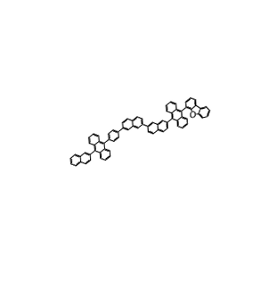 c1ccc2cc(-c3c4ccccc4c(-c4ccc(-c5ccc6ccc(-c7ccc8ccc(-c9c%10ccccc%10c(-c%10cccc%11c%10oc%10ccccc%10%11)c%10ccccc9%10)cc8c7)cc6c5)cc4)c4ccccc34)ccc2c1